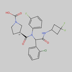 O=C(NC1CC(F)(F)C1)C(c1ccccc1Cl)N(C(=O)[C@H]1CCN(C(=O)O)C1)c1cccc(F)c1